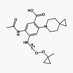 CC(=O)Nc1cc(C(=O)O)c(N2CCC3(CC2)CC3)cc1N[SH4]OOC1(C)CC1